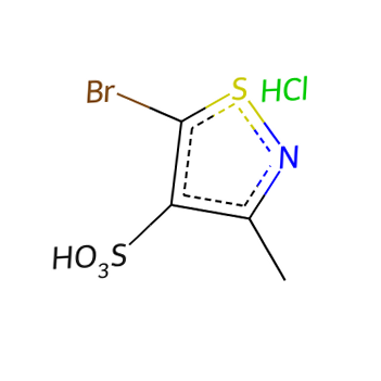 Cc1nsc(Br)c1S(=O)(=O)O.Cl